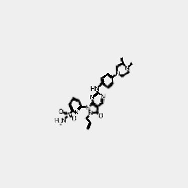 C=CCn1c(=O)c2cnc(Nc3ccc(N4CCN(C)C(C)C4)cc3)nc2n1-c1cccc(S(N)(=O)=O)n1